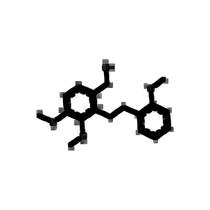 COc1ccccc1CCc1c(CO)ccc(OC)c1OC